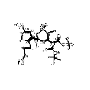 CC1C(N(C(=O)OC(C)(C)C)C(=O)OC(C)(C)C)=N[C@](C)(c2cc(N)ccc2CCCO)CS1(=O)=O